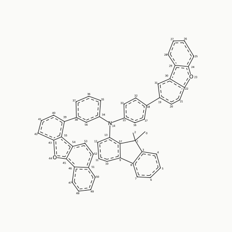 CC1(C)c2ccccc2-c2cccc(N(c3ccc(-c4ccc5oc6ccccc6c5c4)cc3)c3cccc(-c4cccc5oc6c7ccccc7ccc6c45)c3)c21